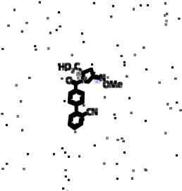 CO/N=C1/C[C@@H](C(=O)O)N(C(=O)c2ccc(-c3ccccc3C#N)cc2)C1